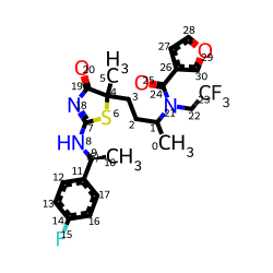 CC(CCC1(C)SC(N[C@@H](C)c2ccc(F)cc2)=NC1=O)N(CC(F)(F)F)C(=O)c1ccoc1